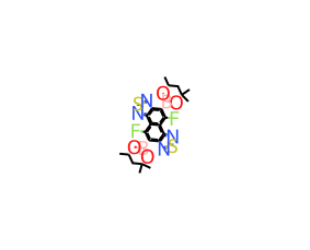 CC1CC(C)(C)OB(c2c(F)c3c4nsnc4c(B4OC(C)CC(C)(C)O4)c(F)c3c3nsnc23)O1